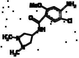 COc1cc(N)c(Cl)cc1C(=O)NC1CN(C)N(C)C1